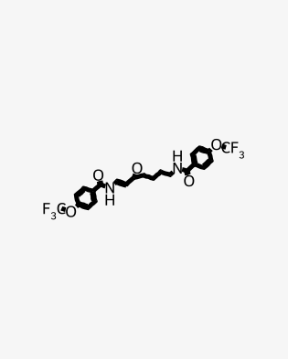 O=C(NC=CC1OC1CCCNC(=O)c1ccc(OC(F)(F)F)cc1)c1ccc(OC(F)(F)F)cc1